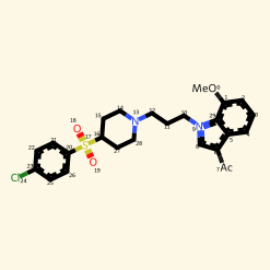 COc1cccc2c(C(C)=O)cn(CCCN3CCC(S(=O)(=O)c4ccc(Cl)cc4)CC3)c12